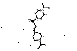 CC(C)N1CCN(CCC(=O)N2CCN(C(C)C)CC2)CC1